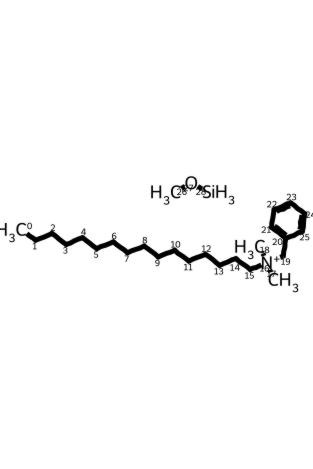 CCCCCCCCCCCCCCCC[N+](C)(C)Cc1ccccc1.CO[SiH3]